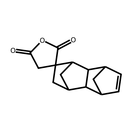 O=C1CC2(CC3CC2C2C4C=CC(C4)C32)C(=O)O1